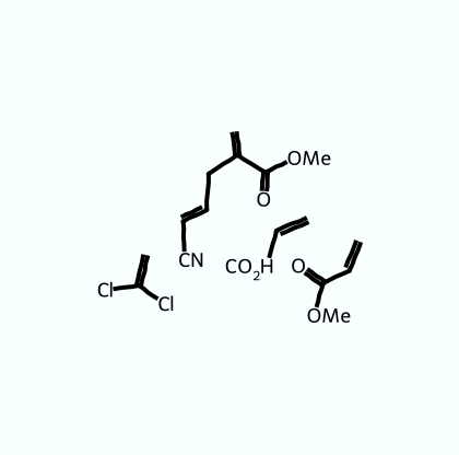 C=C(CC=CC#N)C(=O)OC.C=C(Cl)Cl.C=CC(=O)O.C=CC(=O)OC